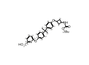 CC(C)(C)OC(=O)NC1CC(Oc2ccc(C(C)(C)c3ccc(Oc4cccc(C(=O)O)n4)cc3)cc2)C1